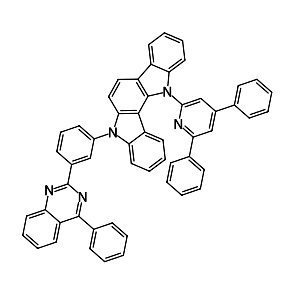 c1ccc(-c2cc(-c3ccccc3)nc(-n3c4ccccc4c4ccc5c(c6ccccc6n5-c5cccc(-c6nc(-c7ccccc7)c7ccccc7n6)c5)c43)c2)cc1